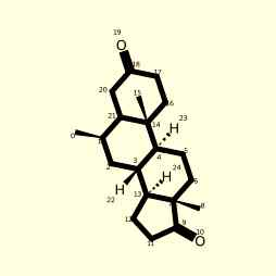 C[C@@H]1C[C@@H]2[C@H](CC[C@]3(C)C(=O)CC[C@@H]23)[C@@]2(C)CCC(=O)CC12